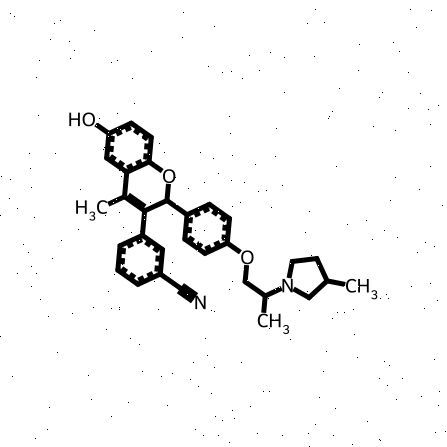 CC1=C(c2cccc(C#N)c2)C(c2ccc(OCC(C)N3CCC(C)C3)cc2)Oc2ccc(O)cc21